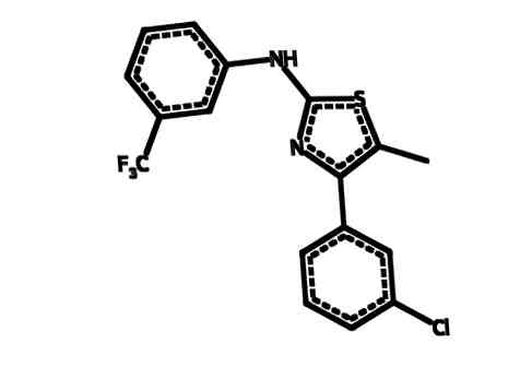 Cc1sc(Nc2cccc(C(F)(F)F)c2)nc1-c1cccc(Cl)c1